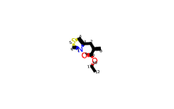 C=C(Cc1cscn1)C(=O)OCC